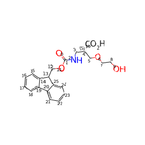 O=C(NC[C@@H](COCCO)C(=O)O)OCC1c2ccccc2-c2ccccc21